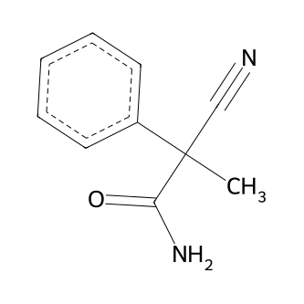 CC(C#N)(C(N)=O)c1ccccc1